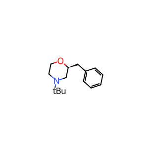 CC(C)(C)N1CCO[C@@H](Cc2ccccc2)C1